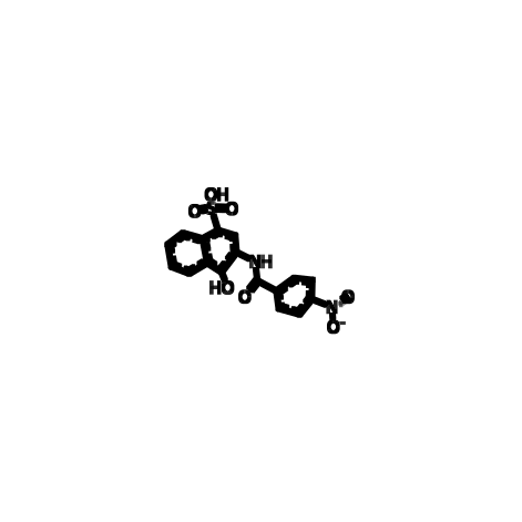 O=C(Nc1cc(S(=O)(=O)O)c2ccccc2c1O)c1ccc([N+](=O)[O-])cc1